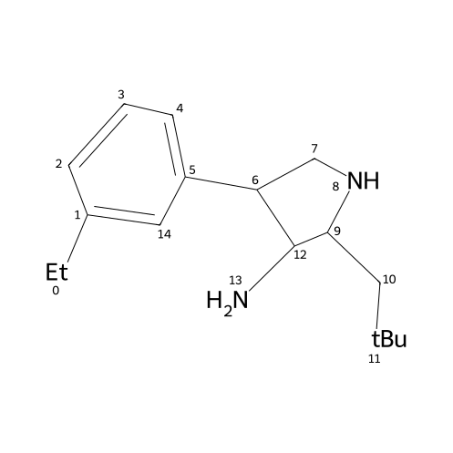 CCc1cccc(C2CNC(CC(C)(C)C)C2N)c1